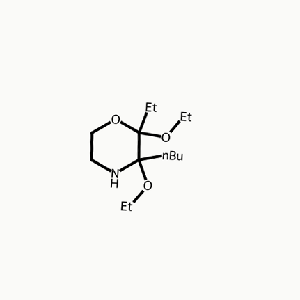 CCCCC1(OCC)NCCOC1(CC)OCC